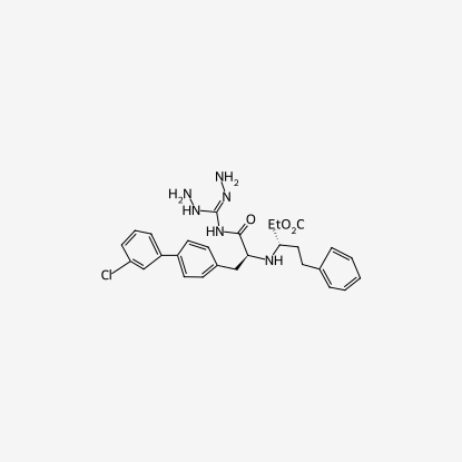 CCOC(=O)[C@H](CCc1ccccc1)N[C@@H](Cc1ccc(-c2cccc(Cl)c2)cc1)C(=O)N/C(=N/N)NN